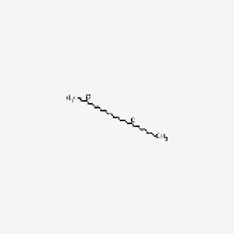 CC=CC(=O)C=CC=CC=CCCCCCCCC(=O)CCCCCCCC